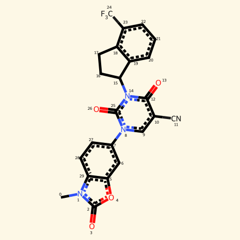 Cn1c(=O)oc2cc(-n3cc(C#N)c(=O)n(C4CCc5c4cccc5C(F)(F)F)c3=O)ccc21